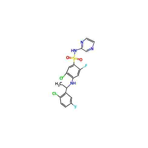 CC(Nc1cc(F)c(S(=O)(=O)Nc2cnccn2)cc1Cl)c1cc(F)ccc1Cl